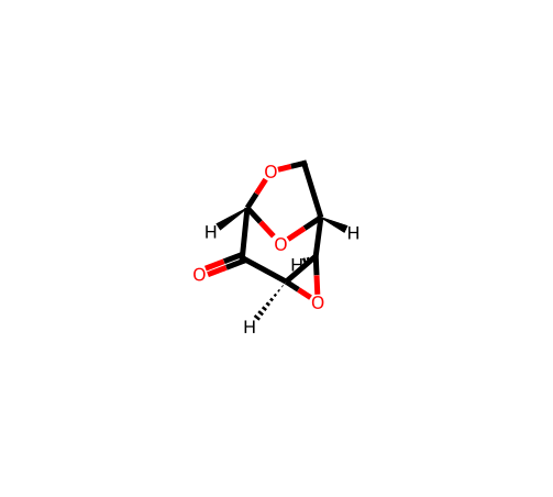 O=C1[C@@H]2OC[C@@H](O2)[C@H]2O[C@@H]12